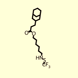 O=C(CCC1CC2CCCC(C2)C1)OCCCCCCNSC(F)(F)F